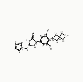 O=C1O[C@@H](Cn2ccnn2)CN1c1cc(F)c(N2CC3(CSC3)C2)c(F)c1